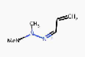 C=C/C=N\N(C)NC